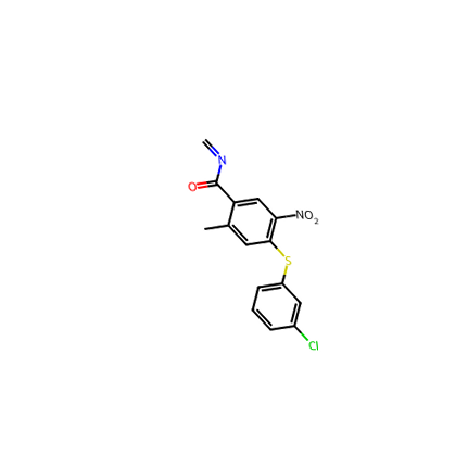 C=NC(=O)c1cc([N+](=O)[O-])c(Sc2cccc(Cl)c2)cc1C